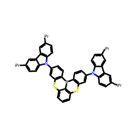 CC(C)c1ccc2c(c1)c1cc(C(C)C)ccc1n2-c1ccc2c(c1)Sc1cccc3c1B2c1ccc(-n2c4ccc(C(C)C)cc4c4cc(C(C)C)ccc42)cc1S3